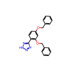 c1ccc(COc2ccc(-c3nn[nH]n3)c(OCc3ccccc3)c2)cc1